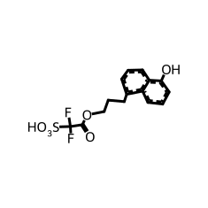 O=C(OCCCc1cccc2c(O)cccc12)C(F)(F)S(=O)(=O)O